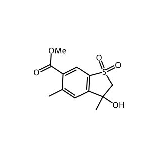 COC(=O)c1cc2c(cc1C)C(C)(O)CS2(=O)=O